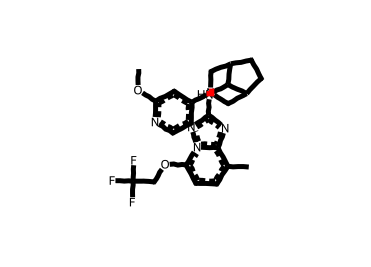 COc1cc(N2CC3CCC(C2)C3Nc2nc3c(C)ccc(OCC(F)(F)F)n3n2)ccn1